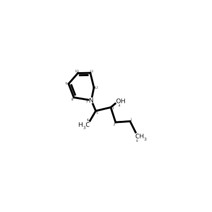 CCCC(O)C(C)N1C=CC=CC1